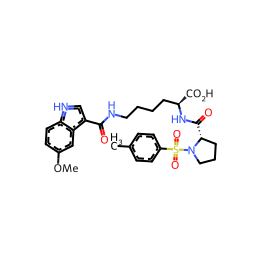 COc1ccc2[nH]cc(C(=O)NCCCC[C@H](NC(=O)[C@@H]3CCCN3S(=O)(=O)c3ccc(C)cc3)C(=O)O)c2c1